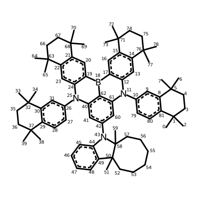 CC1(C)CCC(C)(C)c2cc(N3c4cc5c(cc4B4c6cc7c(cc6N(c6ccc8c(c6)C(C)(C)CCC8(C)C)c6cc(N8c9ccccc9C9(C)CCCCCCC89C)cc3c64)C(C)(C)CCC7(C)C)C(C)(C)CCC5(C)C)ccc21